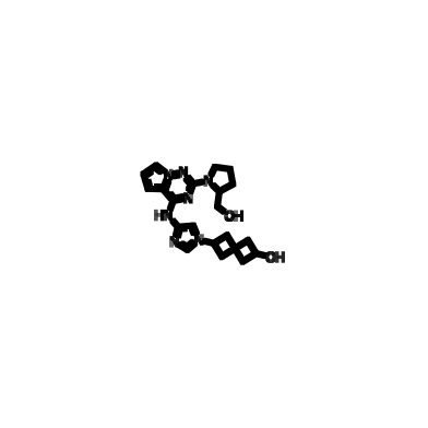 OCC1CCCN1c1nc(Nc2cn(C3CC4(CC(O)C4)C3)cn2)c2cccn2n1